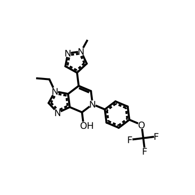 CCn1cnc2c1C(c1cnn(C)c1)=CN(c1ccc(OC(F)(F)F)cc1)C2O